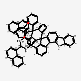 c1ccc2c(c1)-c1ccccc1C21c2ccccc2C2(c3ccccc31)c1ccc3c(oc4ccccc43)c1-c1cccc(C3N=C(c4cccc5ccccc45)NC(c4cccc5ccccc45)N3)c12